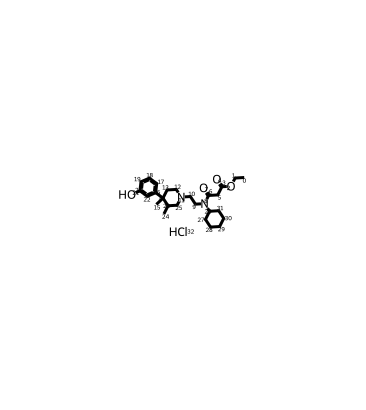 CCOC(=O)CC(=O)N(CCN1CCC(C)(c2cccc(O)c2)C(C)C1)C1CCCCC1.Cl